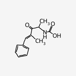 C/C(=C\c1ccccc1)C(=O)C(C)NC(=O)O